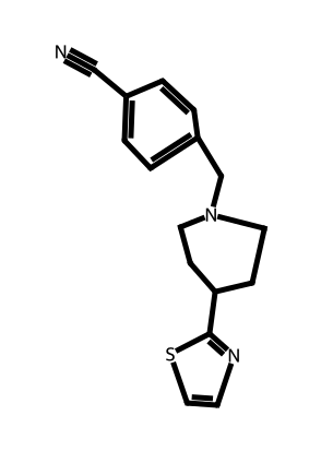 N#Cc1ccc(CN2CCC(c3nccs3)CC2)cc1